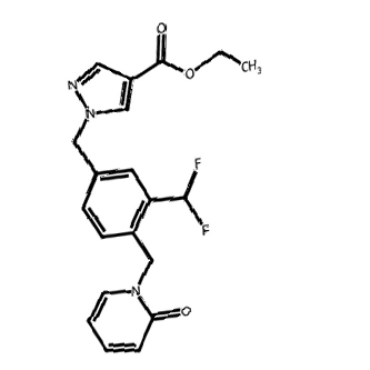 CCOC(=O)c1cnn(Cc2ccc(Cn3ccccc3=O)c(C(F)F)c2)c1